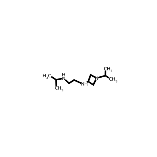 CC(C)NCCNC1CN(C(C)C)C1